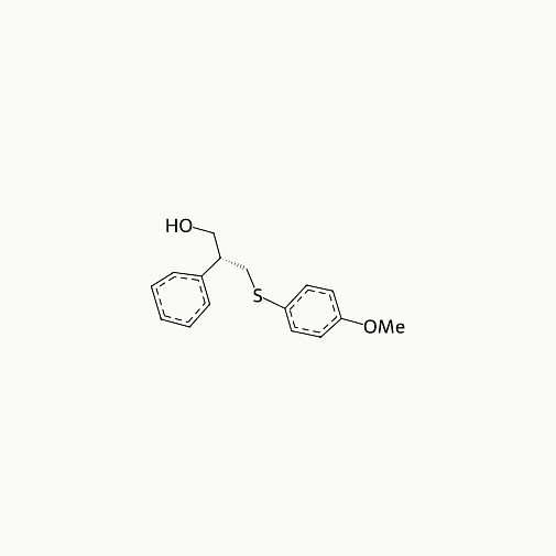 COc1ccc(SC[C@@H](CO)c2ccccc2)cc1